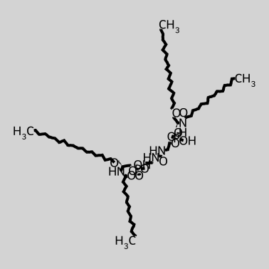 CCCCCCCCCCCCCCCCCCOC[C@H](COP(=O)(O)OCCNC(=O)NCCOP(=O)(O)OC[C@H](COCCCCCCCCCCCCCCCCCC)NC(=O)CCCCCCCCCCCCC)NC(=O)CCCCCCCCCCCCC